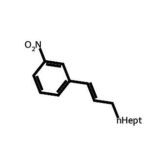 CCCCCCCCC=Cc1cccc([N+](=O)[O-])c1